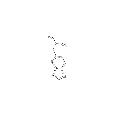 CC(C)Cc1ccc2ncsc2n1